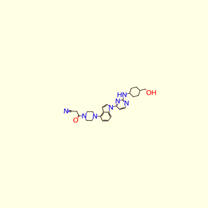 N#CCC(=O)N1CCN(c2cccc3c2ccn3-c2ccnc(NC3CCC(CO)CC3)n2)CC1